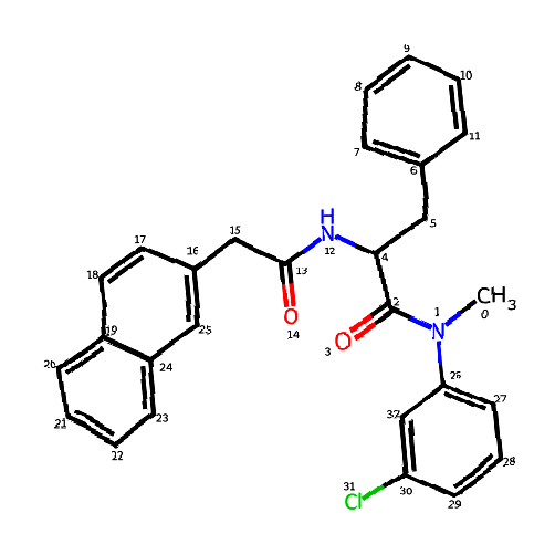 CN(C(=O)C(Cc1ccccc1)NC(=O)Cc1ccc2ccccc2c1)c1cccc(Cl)c1